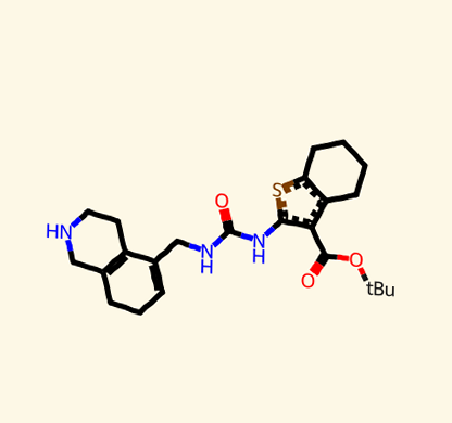 CC(C)(C)OC(=O)c1c(NC(=O)NCC2=CCCC3=C2CCNC3)sc2c1CCCC2